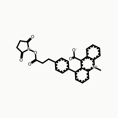 C[n+]1c2ccccc2c(C(=O)[O-])c2c(-c3ccc(CCC(=O)ON4C(=O)CCC4=O)cc3)cccc21